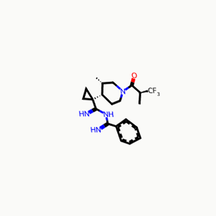 C[C@@H]1CN(C(=O)[C@H](C)C(F)(F)F)CC[C@@H]1C1(C(=N)NC(=N)c2ccccc2)CC1